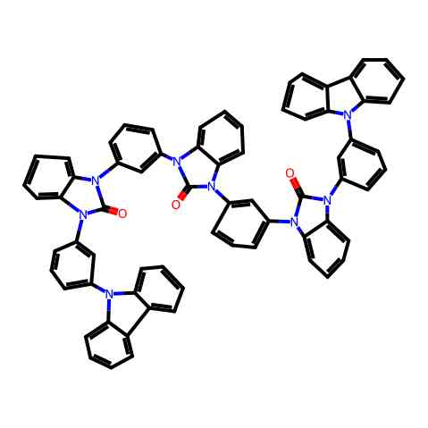 O=c1n(-c2cccc(-n3c(=O)n(-c4cccc(-n5c6ccccc6c6ccccc65)c4)c4ccccc43)c2)c2ccccc2n1-c1cccc(-n2c(=O)n(-c3cccc(-n4c5ccccc5c5ccccc54)c3)c3ccccc32)c1